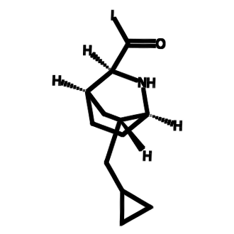 O=C(I)[C@H]1N[C@H]2CC[C@@H]1C[C@H]2CC1CC1